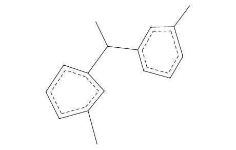 Cc1cccc(C(C)c2cccc(C)c2)c1